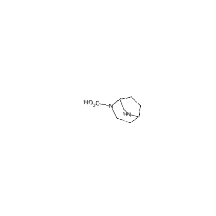 O=C(O)N1CCC2CCC1CN2